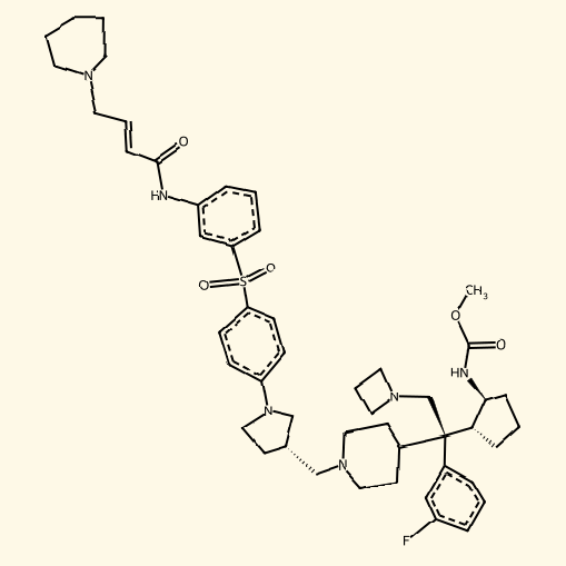 COC(=O)N[C@H]1CCC[C@@H]1[C@](CN1CCC1)(c1cccc(F)c1)C1CCN(C[C@@H]2CCN(c3ccc(S(=O)(=O)c4cccc(NC(=O)/C=C/CN5CCCCC5)c4)cc3)C2)CC1